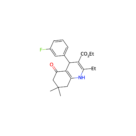 CCOC(=O)C1=C(CC)NC2=C(C(=O)CC(C)(C)C2)C1c1cccc(F)c1